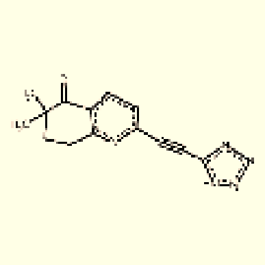 CC1(C)CCc2nc(C#Cc3nnn[nH]3)ccc2C1=O